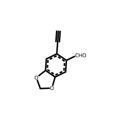 C#Cc1cc2c(cc1C=O)OCO2